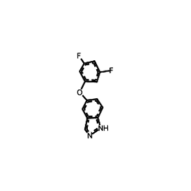 Fc1cc(F)cc(Oc2ccc3[nH]ncc3c2)c1